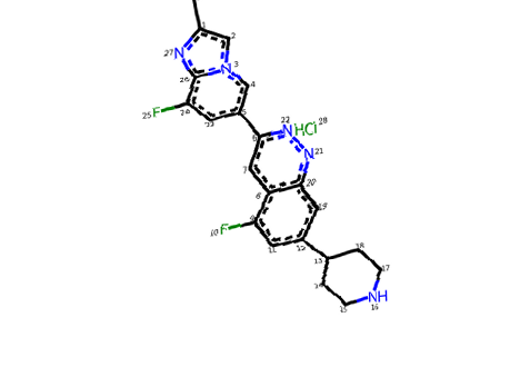 Cc1cn2cc(-c3cc4c(F)cc(C5CCNCC5)cc4nn3)cc(F)c2n1.Cl